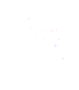 COc1ccc2ncc(Cl)c(C(O)CCC3(C(=O)O)CCN(CCSc4cccs4)CC3)c2c1